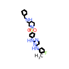 Cc1cc(Nc2ccnc(Nc3ccc(S(=O)(=O)N4CCCC(CNCc5ccccc5)C4)cc3)n2)ccc1F